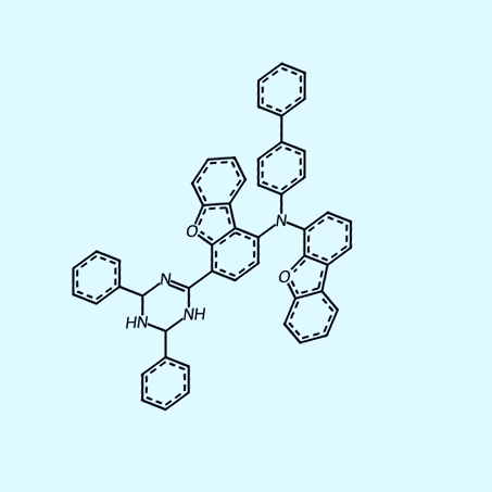 c1ccc(-c2ccc(N(c3cccc4c3oc3ccccc34)c3ccc(C4=NC(c5ccccc5)NC(c5ccccc5)N4)c4oc5ccccc5c34)cc2)cc1